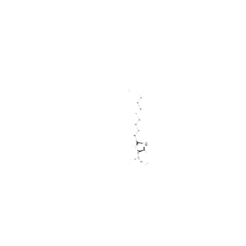 CCCCCCCCCc1nc(C(C)N)c[nH]1